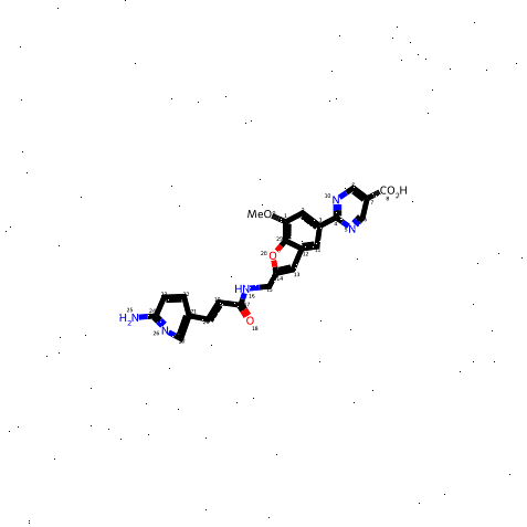 COc1cc(-c2ncc(C(=O)O)cn2)cc2cc(CNC(=O)/C=C/c3ccc(N)nc3)oc12